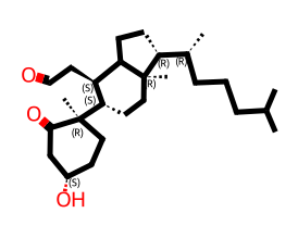 CC(C)CCC[C@@H](C)[C@H]1CCC2[C@H](CC=O)[C@@H]([C@@]3(C)CC[C@H](O)CC3=O)CC[C@@]21C